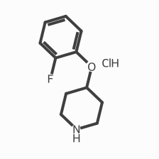 Cl.Fc1ccccc1OC1CCNCC1